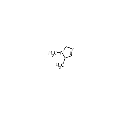 CC1C=[C]CN1C